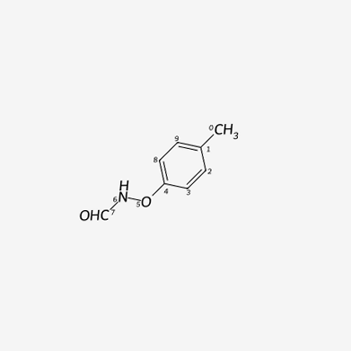 Cc1ccc(ONC=O)cc1